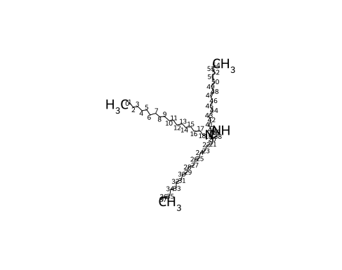 CCCCCCCCCCCCCCCCCCC[n+]1c(CCCCCCCCCCCCCCCCC)c[nH]c1CCCCCCCCCCCCCC